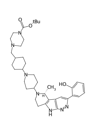 C[C@@H]1c2c([nH]c3nnc(-c4ccccc4O)cc23)CCN1C1CCN(C2CCC(CN3CCN(C(=O)OC(C)(C)C)CC3)CC2)CC1